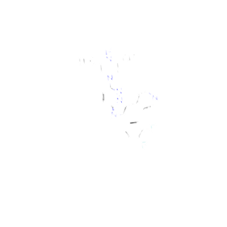 C[C@@H]1CN(c2ccc3nc(-c4ccc(F)c(F)c4)c(-c4ccncc4)n3n2)C[C@H](C)N1